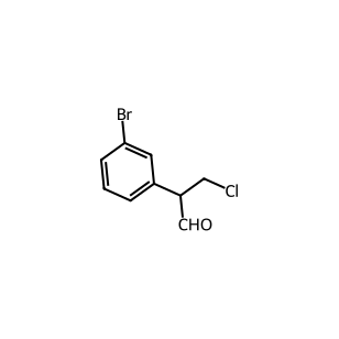 O=CC(CCl)c1cccc(Br)c1